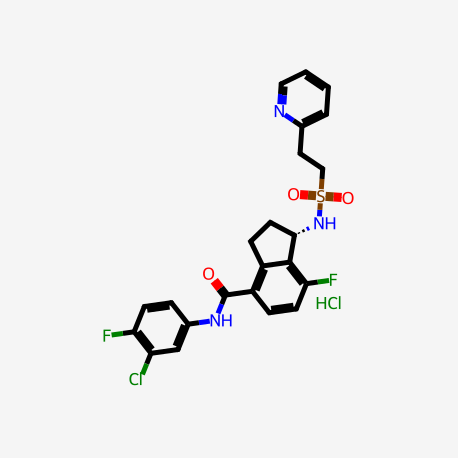 Cl.O=C(Nc1ccc(F)c(Cl)c1)c1ccc(F)c2c1CC[C@@H]2NS(=O)(=O)CCc1ccccn1